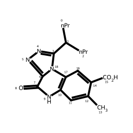 CCCC(CCC)c1nnc2c(=O)[nH]c3cc(C)c(C(=O)O)cc3n12